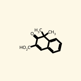 CC1(C)C(=O)C(C(=O)O)=Cc2ccccc21